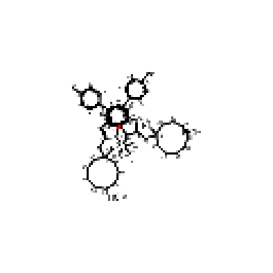 CCC1(CC2=Cc3c(-c4ccc(C)cc4)cccc3[CH]2[Zr]([CH3])([CH3])(=[SiH2])[CH]2C(CC3(CC)CCCCCCCC3)=Cc3c(-c4ccc(C)cc4)cccc32)CCCCCCCC1.Cl.Cl